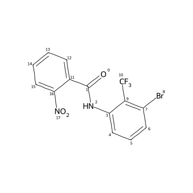 O=C(Nc1cccc(Br)c1C(F)(F)F)c1ccccc1[N+](=O)[O-]